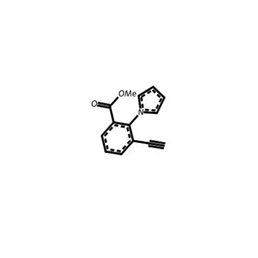 C#Cc1cccc(C(=O)OC)c1-n1cccc1